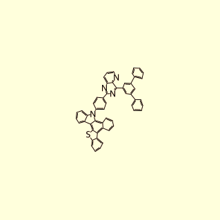 c1ccc(-c2cc(-c3ccccc3)cc(-c3nc(-c4ccc(-n5c6ccccc6c6c7sc8ccccc8c7c7ccccc7c65)cc4)nc4cccnc34)c2)cc1